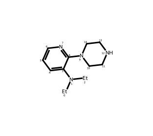 CCN(CC)c1cccnc1N1CCNCC1